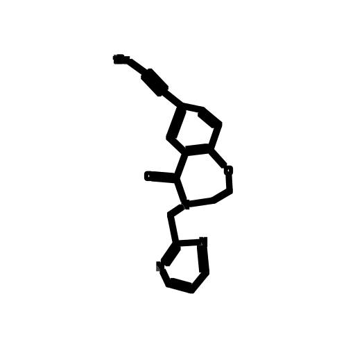 CC(C)(C)C#Cc1ccc2c(c1)C(=O)N(Cc1ncccn1)CCO2